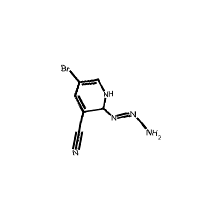 N#CC1=CC(Br)=CNC1N=NN